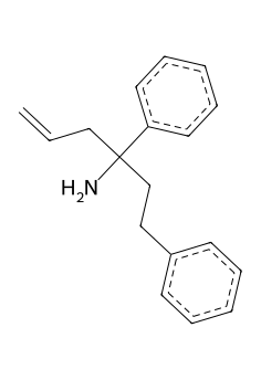 C=CCC(N)(CCc1ccccc1)c1ccccc1